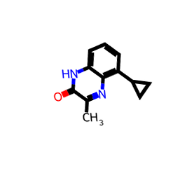 Cc1nc2c(C3CC3)cccc2[nH]c1=O